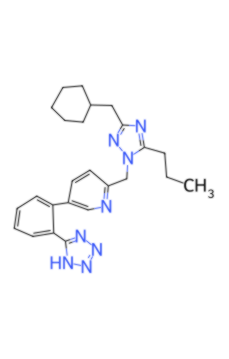 CCCc1nc(CC2CCCCC2)nn1Cc1ccc(-c2ccccc2-c2nnn[nH]2)cn1